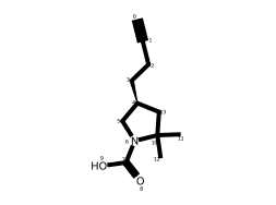 C#CCC[C@@H]1CN(C(=O)O)C(C)(C)C1